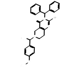 CC(c1ccc(OC(F)(F)F)cc1)N1CCc2nc(N)n(C(c3ccccc3)c3ccccc3)c(=O)c2C1